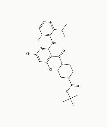 Cc1ccnc(C(C)C)c1Nc1nc(Cl)cc(Cl)c1C(=O)N1CCN(C(=O)OC(C)(C)C)CC1